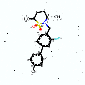 CC1CC[C@H](C)N(Cc2ccc(-c3ccc(C#N)cc3)cc2F)S1(=O)=O